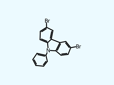 Brc1ccc2c(c1)c1cc(Br)ccc1n2-c1ccccc1